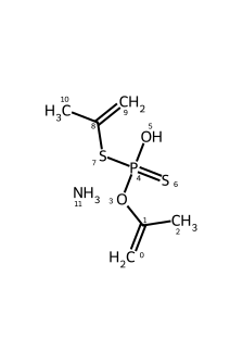 C=C(C)OP(O)(=S)SC(=C)C.N